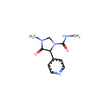 CNC(=O)N1CN(C)C(=O)C1c1ccncc1